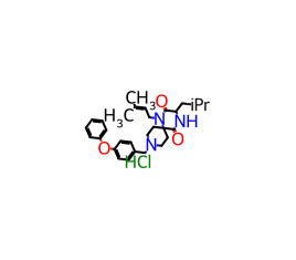 CC(C)=CCN1C(=O)C(CC(C)C)NC(=O)C12CCN(Cc1ccc(Oc3ccccc3)cc1)CC2.Cl